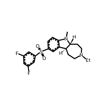 CCN1CC[C@@H]2[C@@H](CC1)c1cc(S(=O)(=O)c3cc(F)cc(F)c3)ccc1N2C